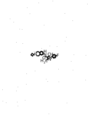 Cc1nn(-c2ccc(F)cc2)c(C)c1C(=O)Nc1ccc2c(c1)CCN(C1CCC1)CC2